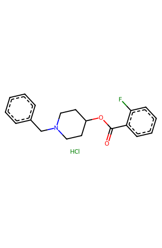 Cl.O=C(OC1CCN(Cc2ccccc2)CC1)c1ccccc1F